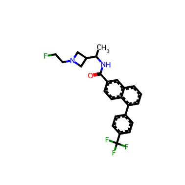 CC(NC(=O)c1ccc2c(-c3ccc(C(F)(F)F)cc3)cccc2c1)C1CN(CCF)C1